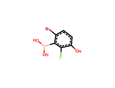 OB(O)c1c(Br)ccc(O)c1F